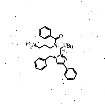 CC[C@H](C)[C@H](c1nc(-c2ccccc2)cn1Cc1ccccc1)N(CCCN)C(=O)c1ccccc1